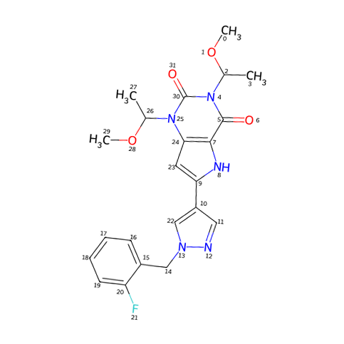 COC(C)n1c(=O)c2[nH]c(-c3cnn(Cc4ccccc4F)c3)cc2n(C(C)OC)c1=O